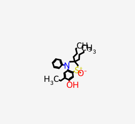 CCCCC1(CCCC)CN(c2ccccc2)c2cc(CC)c(O)cc2[S+]([O-])C1